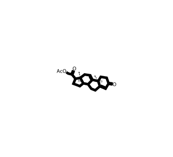 CC(=O)OCC(=O)C1CCC2C3CCC4=CC(=O)CC[C@]4(C)C3=CC[C@]12C